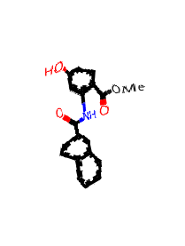 COC(=O)c1ccc(O)cc1NC(=O)c1ccc2ccccc2c1